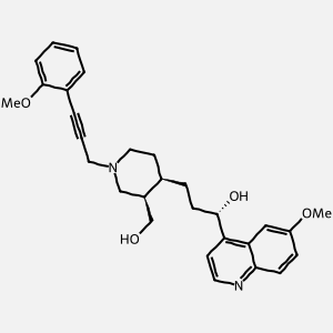 COc1ccc2nccc([C@@H](O)CC[C@@H]3CCN(CC#Cc4ccccc4OC)C[C@@H]3CO)c2c1